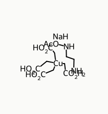 CC(=O)ONCCN.O=C(O)[CH2][Cu]([CH2]C(=O)O)([CH2]C(=O)O)[CH2]C(=O)O.[NaH]